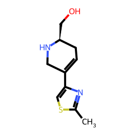 Cc1nc(C2=CC[C@H](CO)NC2)cs1